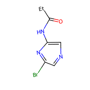 CCC(=O)Nc1cncc(Br)n1